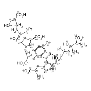 CC(C)C(N)C(=O)O.CC(C)CC(N)C(=O)O.CC(O)C(N)C(=O)O.NC(CO)C(=O)O.NC(Cc1c[nH]c2ccccc12)C(=O)O.NC(Cc1ccc(O)cc1)C(=O)O.O=C(O)[C@@H]1CCCN1